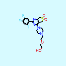 O=S1(=O)Cc2nc(-c3cc(F)c(F)cc3F)nc(N3CCN(CCOCCO)CC3)c2C1